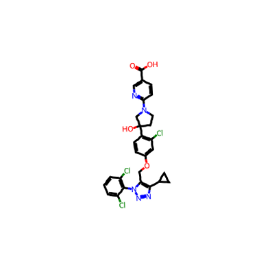 O=C(O)c1ccc(N2CCC(O)(c3ccc(OCc4c(C5CC5)nnn4-c4c(Cl)cccc4Cl)cc3Cl)C2)nc1